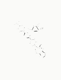 CN(C)C1CCN(C(=O)[C@@H](Cc2ccc(N)c(Br)c2)OC(=O)N2CCC(N3CCc4ccccc4NC3=O)CC2)CC1